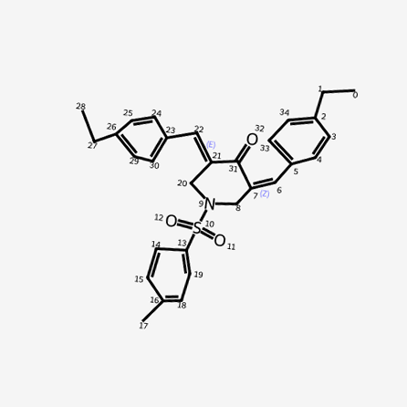 CCc1ccc(/C=C2/CN(S(=O)(=O)c3ccc(C)cc3)C/C(=C\c3ccc(CC)cc3)C2=O)cc1